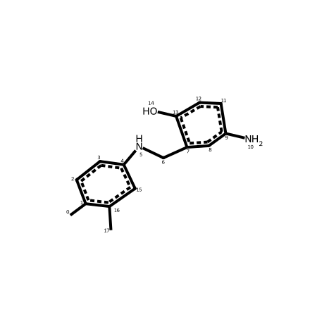 Cc1ccc(NCc2cc(N)ccc2O)cc1C